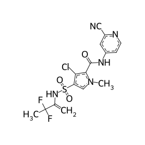 C=C(NS(=O)(=O)c1cn(C)c(C(=O)Nc2ccnc(C#N)c2)c1Cl)C(C)(F)F